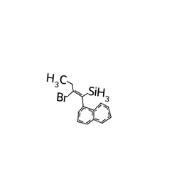 CCC(Br)=C([SiH3])c1cccc2ccccc12